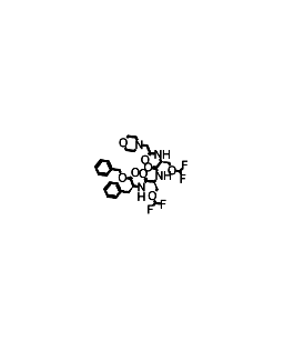 O=C(CN1CCOCC1)N[C@@H](COC(F)F)C(=O)N[C@@H](COC(F)F)C(=O)N[C@@H](Cc1ccccc1)C(=O)OCc1ccccc1